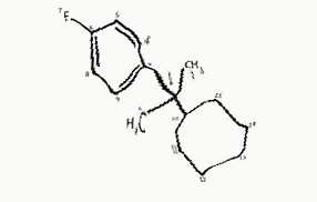 CC(C)(c1ccc(F)cc1)C1CCCCC1